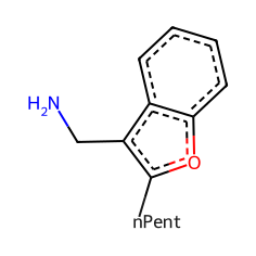 CCCCCc1oc2ccccc2c1CN